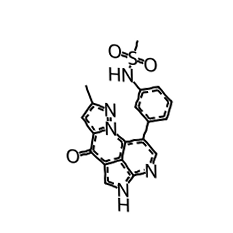 Cc1cc2c(=O)c3c[nH]c4ncc(-c5cccc(NS(C)(=O)=O)c5)c(c43)n2n1